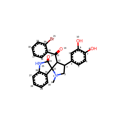 CN1CC(c2ccc(O)c(O)c2)C(C(=O)c2ccccc2Br)C12C(=O)Nc1ccccc12